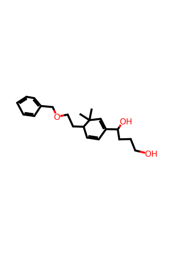 CC1(C)C=C(C(O)CCCO)C=CC1CCOCc1ccccc1